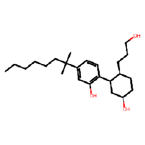 CCCCCCC(C)(C)c1ccc(C2C[C@H](O)CC[C@@H]2CCCO)c(O)c1